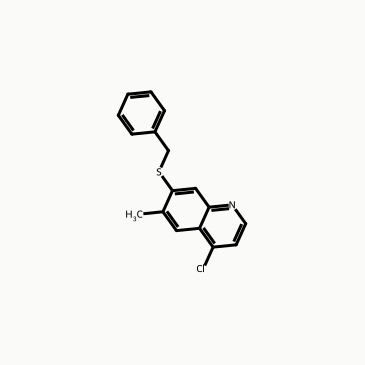 Cc1cc2c(Cl)ccnc2cc1SCc1ccccc1